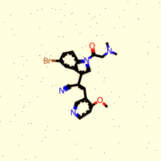 COc1ccncc1/C=C(\C#N)c1cn(C(=O)CN(C)C)c2ccc(Br)cc12